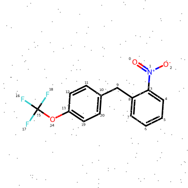 O=[N+]([O-])c1ccccc1Cc1ccc(OC(F)(F)F)cc1